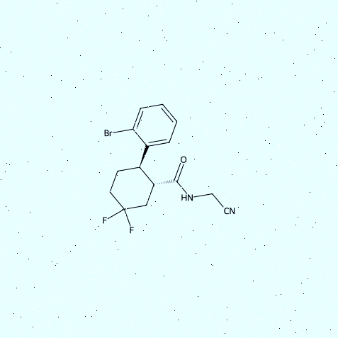 N#CCNC(=O)[C@@H]1CC(F)(F)CC[C@H]1c1ccccc1Br